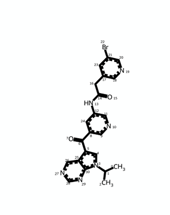 CC(C)n1cc(C(=O)c2cncc(NC(=O)Cc3cncc(Br)c3)c2)c2cncnc21